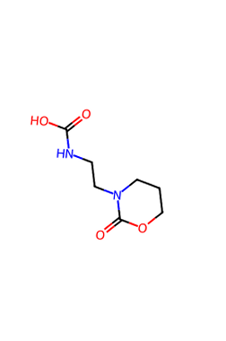 O=C(O)NCCN1CCCOC1=O